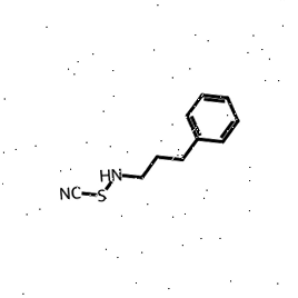 N#CSNCCCc1ccccc1